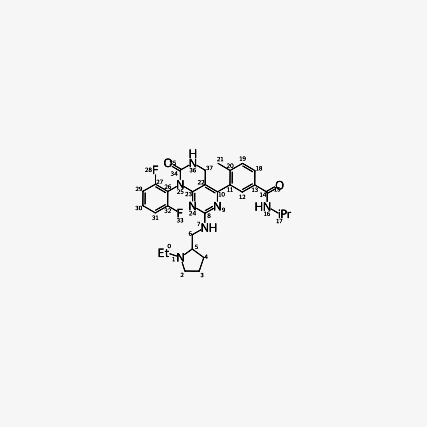 CCN1CCCC1CNc1nc(-c2cc(C(=O)NC(C)C)ccc2C)c2c(n1)N(c1c(F)cccc1F)C(=O)NC2